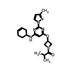 Cc1ccn(-c2nc(NC3CC=CCC3)cc(OC3CN(C(=O)C(C)C)C3)n2)n1